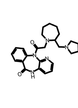 O=C1Nc2cccnc2N(C(=O)CN2CCCCCC2CN2CCCC2)c2ccccc21